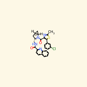 Cc1nc(C(=O)N2[C@H](CNC(=O)c3ccc4ccccc4n3)C[C@@H]3C[C@@H]32)c(-c2cccc(Cl)c2)s1